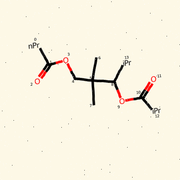 CCCC(=O)OCC(C)(C)C(OC(=O)C(C)C)C(C)C